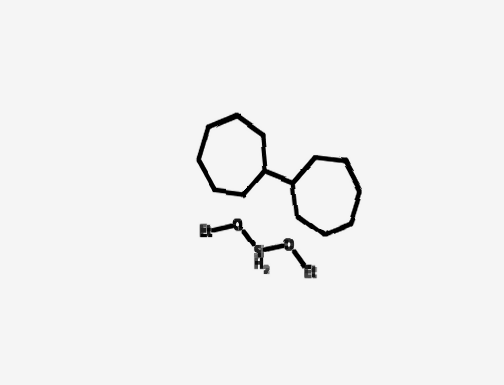 C1CCCC(C2CCCCCC2)CC1.CCO[SiH2]OCC